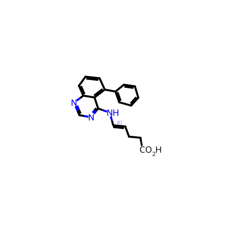 O=C(O)CC/C=C/Nc1ncnc2cccc(-c3ccccc3)c12